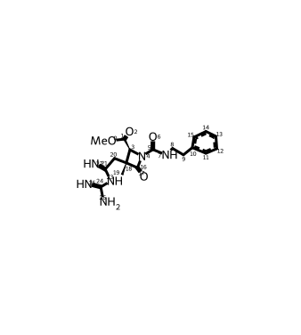 COC(=O)[C@H]1N(C(=O)NCCc2ccccc2)C(=O)[C@]1(C)CC(=N)NC(=N)N